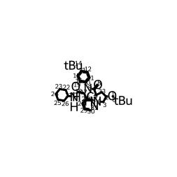 CC(C)(C)O[C@H]1CN[C@@](C)(C(=O)N(c2ccc(C(C)(C)C)cc2)C(C(=O)NC2CCCCC2)c2cccnc2)C1